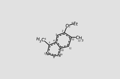 CCOc1cc2c(C)ncnc2cc1C